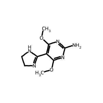 COc1nc(N)nc(OC)c1C1=NCCN1